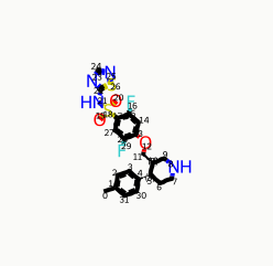 Cc1ccc([C@H]2CCNC[C@@H]2COc2cc(F)c(S(=O)(=O)Nc3ncns3)cc2F)cc1